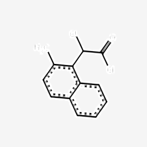 Cc1ccc2ccccc2c1C(Cl)C(=O)Cl